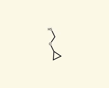 SCOC1CC1